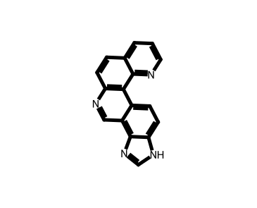 c1cnc2c(c1)ccc1ncc3c(ccc4[nH]cnc43)c12